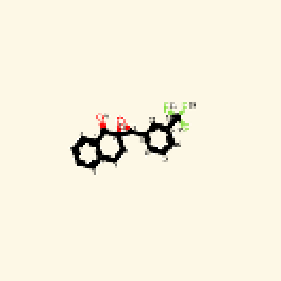 O=C1c2ccccc2CCC12OC2c1cccc(C(F)(F)F)c1